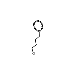 ClCCCCc1ccccc1